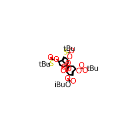 CC(C)COC(=O)OC1/C=C/C(OC(=O)OC(C)(C)C)CC2OC(/C3=C\C(OC(=O)SC(C)(C)C)CC4OCOC4CC3OC(=O)SC(C)(C)C)OC2C1